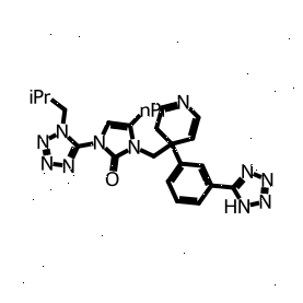 CCCc1cn(-c2nnnn2CC(C)C)c(=O)n1CC1(c2cccc(-c3nnn[nH]3)c2)C=CN=CC1